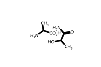 CC(N)C(=O)O.CC(O)C(N)=O